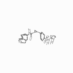 O=C(Nc1ccc2cnccc2c1)C1CC1c1ccc(S(=O)(=O)Nc2ncc[nH]2)cc1